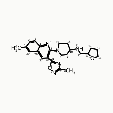 Cc1ccc2nc(N3CCC(NCC4CCCO4)CC3)c(-c3nc(C)no3)cc2c1